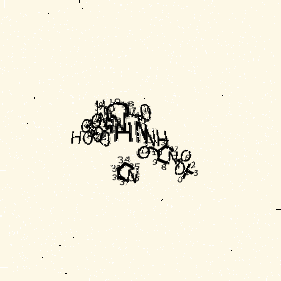 CC(C)(C)OC(=O)N1CCC(C(=O)NNC(=O)[C@@H]2CC[C@@H]3CN2C(=O)N3OS(=O)(=O)O)CC1.c1ccncc1